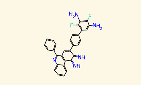 N=C1C(=N)c2c(c(-c3ccccc3)nc3ccccc23)C=C1c1ccc(-c2cc(N)c(F)c(N)c2F)cc1